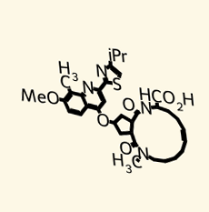 COc1ccc2c(OC3CC4C(=O)NC(C(=O)O)CCC=CCCCCN(C)C(=O)C4C3)cc(-c3nc(C(C)C)cs3)nc2c1C